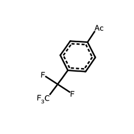 [CH2]C(=O)c1ccc(C(F)(F)C(F)(F)F)cc1